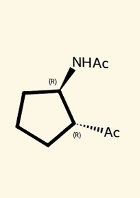 CC(=O)N[C@@H]1CCC[C@H]1C(C)=O